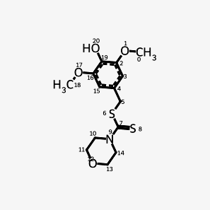 COc1cc(CSC(=S)N2CCOCC2)cc(OC)c1O